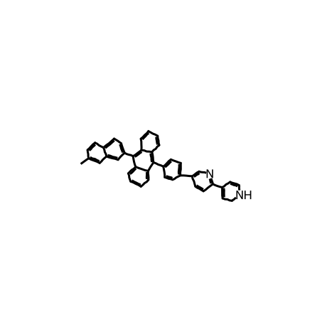 Cc1ccc2ccc(-c3c4ccccc4c(-c4ccc(-c5ccc(C6=CCNC=C6)nc5)cc4)c4ccccc34)cc2c1